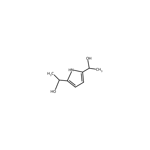 CC(O)c1ccc(C(C)O)[nH]1